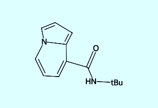 CC(C)(C)NC(=O)c1cccn2cccc12